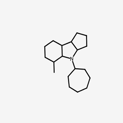 CC1CCCC2C3CCCC3N(C3CCCCCC3)C12